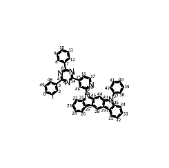 c1ccc(-c2nc(-c3ccccc3)nc(-c3ccnc(-n4c5ccccc5c5cc6c7ccccc7n(-c7ccccc7)c6cc54)c3)n2)cc1